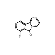 [O]C1c2ccccc2-c2cccc(F)c21